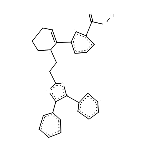 COC(=O)c1cccc(C2=CCCCC2CCc2nc(-c3ccccc3)c(-c3ccccc3)o2)c1